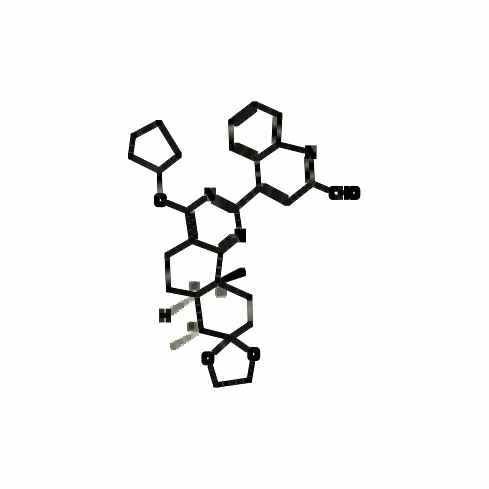 C[C@@H]1[C@H]2CCc3c(OC4CCCC4)nc(-c4cc(C=O)nc5ccccc45)nc3[C@]2(C)CCC12OCCO2